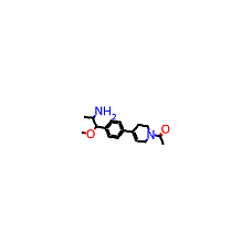 COC(c1ccc(C2=CCN(C(C)=O)CC2)cc1)C(C)N